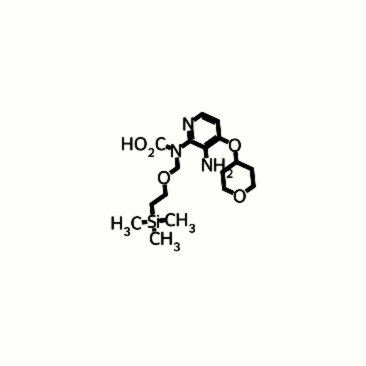 C[Si](C)(C)CCOCN(C(=O)O)c1nccc(OC2CCOCC2)c1N